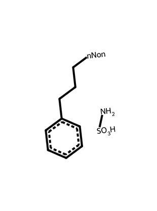 CCCCCCCCCCCCc1ccccc1.NS(=O)(=O)O